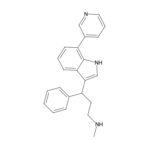 CNCCC(c1ccccc1)c1c[nH]c2c(-c3cccnc3)cccc12